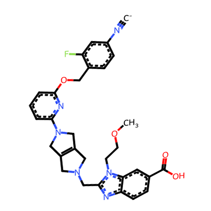 [C-]#[N+]c1ccc(COc2cccc(N3CC4=C(CN(Cc5nc6ccc(C(=O)O)cc6n5CCOC)C4)C3)n2)c(F)c1